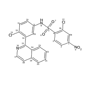 O=[N+]([O-])c1ccc(S(=O)(=O)Nc2ccc(Cl)c(-c3nccc4ccccc34)c2)c(Cl)c1